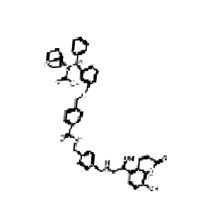 O=C(NCc1ccc(CNCC(O)c2ccc(O)c3[nH]c(=O)ccc23)cc1)c1ccc(COc2cccc([C@H](c3ccccc3)N(C(=O)O)C3CN4CCC3CC4)c2)cc1